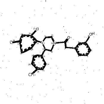 O=C(Cc1cccc(O)c1)N1CCN(c2ccc(Cl)cc2Cl)C(c2ccc(Cl)cc2)C1